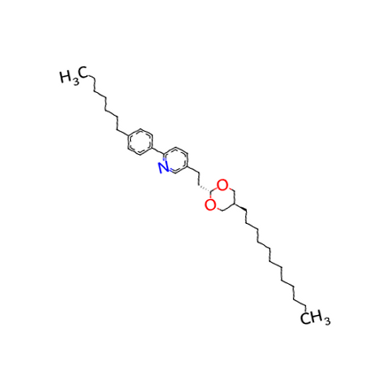 CCCCCCCCCCCC[C@H]1CO[C@H](CCc2ccc(-c3ccc(CCCCCCC)cc3)nc2)OC1